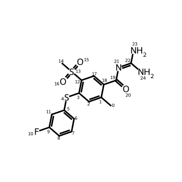 Cc1cc(Sc2cccc(F)c2)c(S(C)(=O)=O)cc1C(=O)N=C(N)N